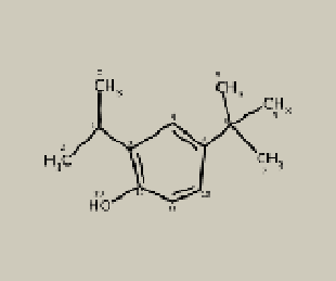 CC(C)c1cc(C(C)(C)C)ccc1O